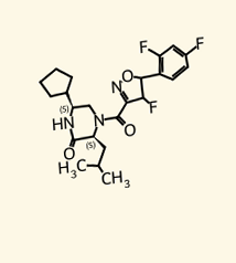 CC(C)C[C@H]1C(=O)N[C@@H](C2CCCC2)CN1C(=O)C1=NOC(c2ccc(F)cc2F)C1F